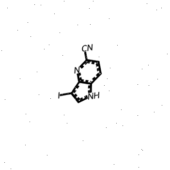 N#Cc1ccc2[nH]cc(I)c2n1